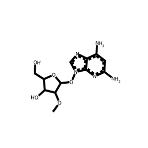 COC1C(On2cnc3c(N)cc(N)nc32)OC(CO)C1O